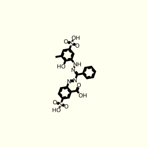 Cc1cc(S(=O)(=O)O)cc(N/N=C(/N=N/c2ccc(S(=O)(=O)O)cc2C(=O)O)c2ccccc2)c1O